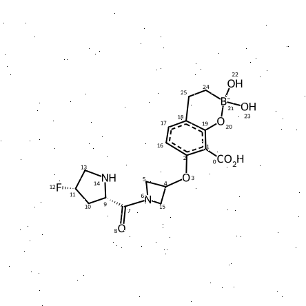 O=C(O)c1c(OC2CN(C(=O)[C@@H]3C[C@H](F)CN3)C2)ccc2c1O[B-](O)(O)CC2